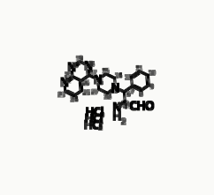 Cl.Cl.Cl.N[C@@H](C=O)C(c1ccccc1)N1CCN(c2ncnc3ncccc23)CC1